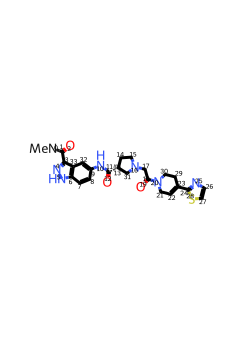 CNC(=O)c1n[nH]c2ccc(NC(=O)[C@@H]3CCN(CC(=O)N4CC=C(c5nccs5)CC4)C3)cc12